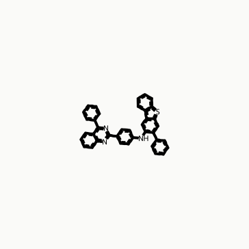 c1ccc(-c2cc3sc4ccccc4c3cc2Nc2ccc(-c3nc(-c4ccccc4)c4ccccc4n3)cc2)cc1